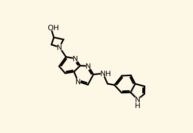 OC1CN(c2ccc3ncc(NCc4ccc5cc[nH]c5c4)nc3n2)C1